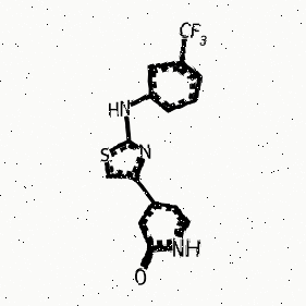 O=c1cc(-c2csc(Nc3cccc(C(F)(F)F)c3)n2)cc[nH]1